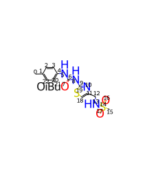 Cc1ccc(NC(=O)Nc2nc(CNS(C)(=O)=O)cs2)c(OCC(C)C)c1